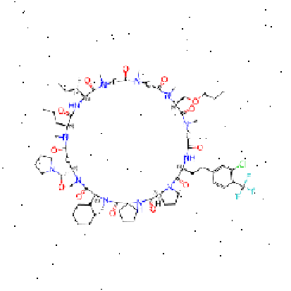 CCCOC[C@H]1C(=O)N(C)CC(=O)N[C@@H](CCc2ccc(C(F)(F)F)c(Cl)c2)C(=O)N2CCC[C@H]2C(=O)NC2(CCCC2)C(=O)N(C)[C@@H](C2CCCCC2)C(=O)N(C)[C@H](C(=O)N2CCCC2)CC(=O)N(C)[C@@H](CCC)C(=O)N[C@@H]([C@@H](C)CC)C(=O)N(C)CC(=O)N(C)CC(=O)N1C